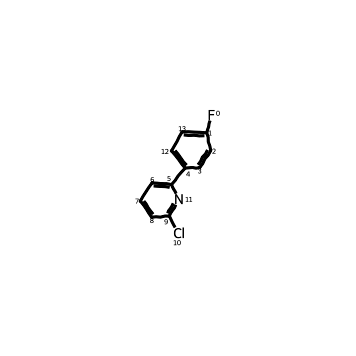 Fc1ccc(-c2cccc(Cl)n2)cc1